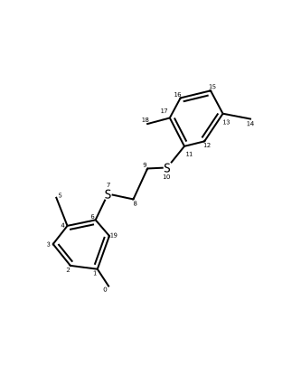 Cc1ccc(C)c(SCCSc2cc(C)ccc2C)c1